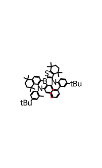 Cc1cc2c3c(c1)N(c1ccc(C(C)(C)C)cc1-c1ccccc1)c1c(sc4c1C(C)(C)CCC4(C)C)B3c1ccc3c(c1N2c1ccc(C(C)(C)C)cc1C)C(C)(C)CCC3(C)C